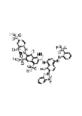 Nc1c(N=Nc2ccc(N=Nc3ccccc3S(=O)(=O)O)c3ccc(N=Nc4ccccc4[N+](=O)[O-])c(O)c23)cc(S(=O)(=O)O)c2cc(S(=O)(=O)O)c(N=Nc3ccc(S(=O)(=O)O)cc3[N+](=O)[O-])c(O)c12